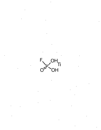 O=P(O)(O)F.[Ti]